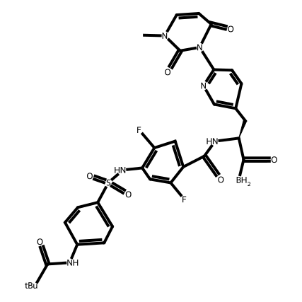 BC(=O)[C@H](Cc1ccc(-n2c(=O)ccn(C)c2=O)nc1)NC(=O)c1cc(F)c(NS(=O)(=O)c2ccc(NC(=O)C(C)(C)C)cc2)cc1F